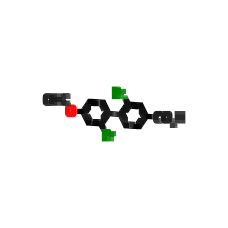 O=COc1ccc(-c2ccc(C(=O)O)cc2Br)c(Br)c1